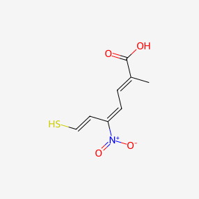 C\C(=C/C=C(\C=C\S)[N+](=O)[O-])C(=O)O